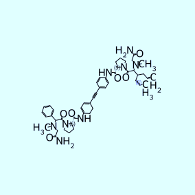 C=CCC(/C=C\C)C(C(=O)N1CCC[C@H]1C(=O)Nc1ccc(C#CC2=CC=C(NC(=O)[C@@H]3CCCN3C(=O)C(c3ccccc3)N(C)CC(N)=O)CC2)cc1)N(C)CC(N)=O